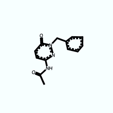 CC(=O)Nc1ccc(=O)n(Cc2ccccc2)n1